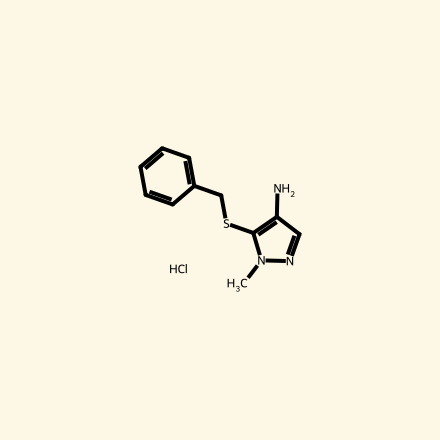 Cl.Cn1ncc(N)c1SCc1ccccc1